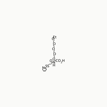 CCOCCOCCOCCOCCOC(NC(=O)CCSSc1ccccn1)C(=O)O